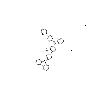 CC1(C)c2cc(-n3c4ccccc4c4ccccc43)ccc2C2=CC=C(N(c3ccccc3)c3ccc(-c4ccccc4)cc3)CC21